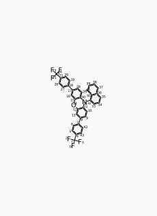 FC(F)(F)c1ccc(-c2ccc3c(c2)Oc2cc(-c4ccc(C(F)(F)F)cc4)ccc2N3c2cccc3ccccc23)cc1